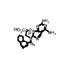 C[C@@H](c1cccc2ccccc12)N(C[C@@H](O)C(=O)O)c1ncc2c(N)nc(N)nc2n1